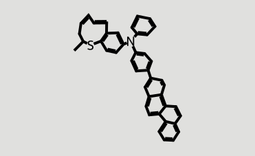 CC1C/C=C\C=C\c2cc(N(c3ccccc3)c3ccc(-c4ccc5c(ccc6c7ccccc7ccc56)c4)cc3)ccc2S1